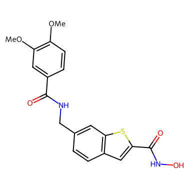 COc1ccc(C(=O)NCc2ccc3cc(C(=O)NO)sc3c2)cc1OC